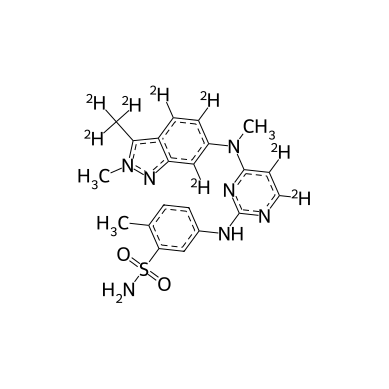 [2H]c1nc(Nc2ccc(C)c(S(N)(=O)=O)c2)nc(N(C)c2c([2H])c([2H])c3c(C([2H])([2H])[2H])n(C)nc3c2[2H])c1[2H]